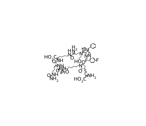 CC(C)[C@H](NC(=O)CCCCCN1C(=O)CC(SC[C@H](N)C(=O)O)C1=O)C(=O)N[C@@H](CCCNC(N)=O)C(=O)N[C@@H](CCCCNC(=O)[C@@H](N)CCN(CCO)[C@@H](c1nn(-c2cc(F)ccc2F)cc1Cc1ccccc1)C(C)(C)C)C(=O)O